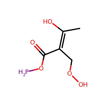 C/C(O)=C(\COO)C(=O)OP